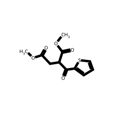 COC(=O)CC(C(=O)OC)C(=O)c1cccs1